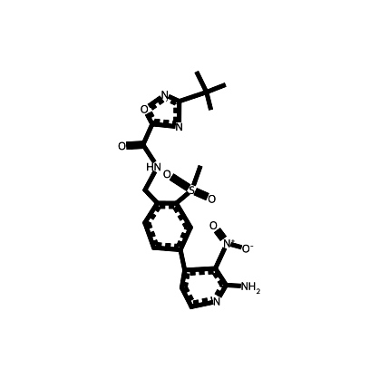 CC(C)(C)c1noc(C(=O)NCc2ccc(-c3ccnc(N)c3[N+](=O)[O-])cc2S(C)(=O)=O)n1